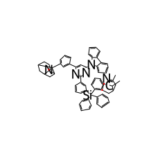 CC1CC2CCC1CC(C)N2c1ccc2c3ccccc3n(-c3cc(-c4cccc(N5C6CC7CC(C6)CC5C7)c4)nc(-c4cccc([Si](c5ccccc5)(c5ccccc5)c5ccccc5)c4)n3)c2c1